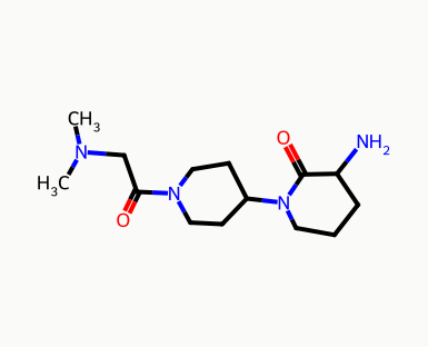 CN(C)CC(=O)N1CCC(N2CCCC(N)C2=O)CC1